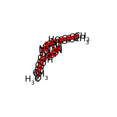 COCCOCCOCCOCCOCCOCCn1cc(COc2cccc(OCc3cn(CCOCCOCCOCCOCCOCCOC)nn3)c2-c2c3nc(cc4ccc([nH]4)c(-c4c(OCc5cn(CCOCCOCCOCCOCCOCCOC)nn5)cccc4OCc4cn(CCOCCOCCOCCOCCOCCOC)nn4)c4nc(cc5ccc2[nH]5)C=C4)C=C3)nn1